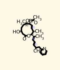 CC(=O)O[C@H]1/C=C/[C@H](C)[C@@H](/C(C)=C/C=C/C(C)Cc2ccccn2)OC(=O)C[C@H](O)CC[C@@]1(C)O